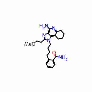 COCCc1nc2c(N)nc3c(c2n1CCCCc1ccccc1C(N)=O)CCCC3